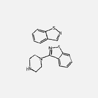 c1ccc2c(N3CCNCC3)nsc2c1.c1ccc2sncc2c1